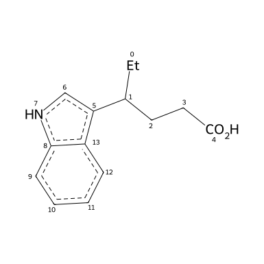 CCC(CCC(=O)O)c1c[nH]c2ccccc12